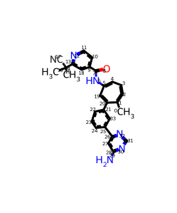 CC1=C=CC=C(NC(=O)c2ccnc(C(C)(C)C#N)c2)C=C1c1cccc(-c2cc(N)ncn2)c1